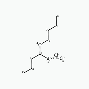 CCCCO[CH]([Al+2])CCC.[Cl-].[Cl-]